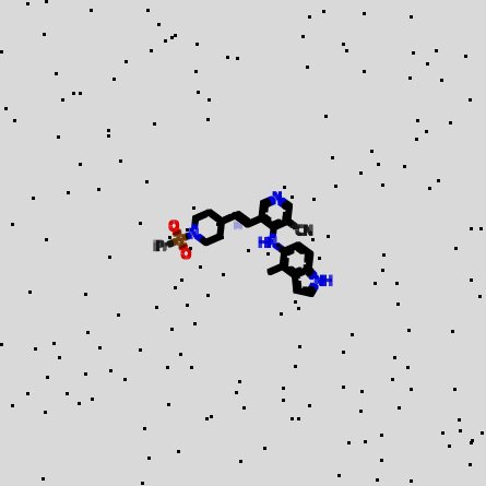 Cc1c(Nc2c(C#N)cncc2/C=C/C2CCN(S(=O)(=O)C(C)C)CC2)ccc2[nH]ccc12